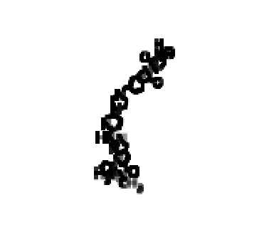 CN(C)C(=O)c1cc2cnc(Nc3ccc(N4CCN(Cc5ccc6c(c5)CN(N5CCC(=O)NC5=O)C6=O)CC4)cn3)nc2n1C1CCCC1